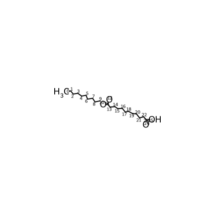 CCCCCCCCCCOC(=O)CCCCCCCCCCC(=O)O